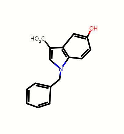 O=C(O)c1cn(Cc2ccccc2)c2ccc(O)cc12